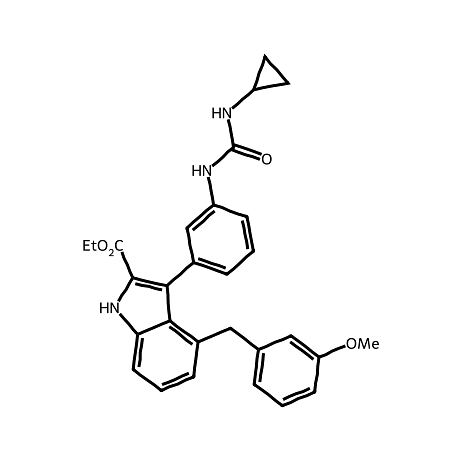 CCOC(=O)c1[nH]c2cccc(Cc3cccc(OC)c3)c2c1-c1cccc(NC(=O)NC2CC2)c1